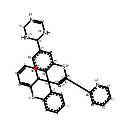 C1=CCC2C(=C1)Sc1ccccc1C21C2=C(CC(c3ccccn3)CC2)Sc2cc(C3NC=NCN3)ccc21